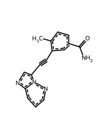 Cc1ccc(C(N)=O)cc1C#Cc1cnc2cccnn12